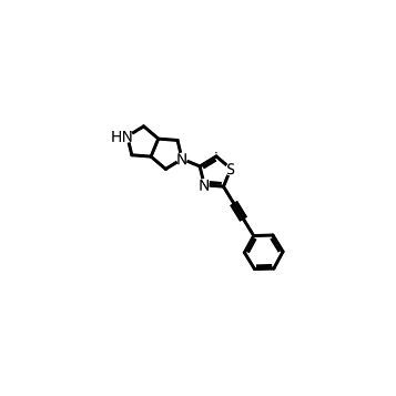 C(#Cc1nc(N2CC3CNCC3C2)[c]s1)c1ccccc1